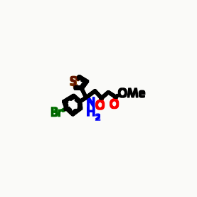 COC(=O)CC(=O)CC(N)(c1ccc(Br)cc1)c1ccsc1